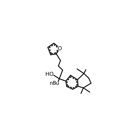 CCCCC(O)(CCCc1ccco1)c1ccc2c(c1)C(C)(C)CCC2(C)C